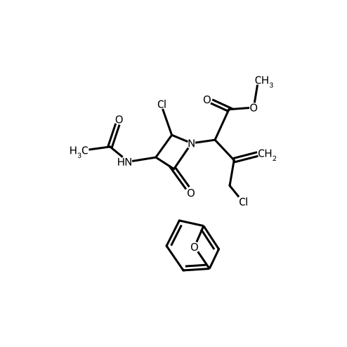 C=C(CCl)C(C(=O)OC)N1C(=O)C(NC(C)=O)C1Cl.c1cc2cc(c1)O2